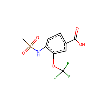 CS(=O)(=O)Nc1ccc(C(=O)O)cc1OC(F)(F)F